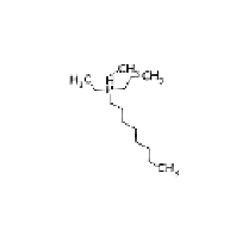 CCCCCCCC[PH](CC)(CC)CCC